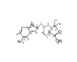 Cc1cc2nn(CC3CCN(C(=O)O)C(C(C)(C)C)C3)cc2cc1Br